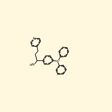 CCCC(CCc1ccncc1)c1ccc([S+](c2ccccc2)c2ccccc2)cc1